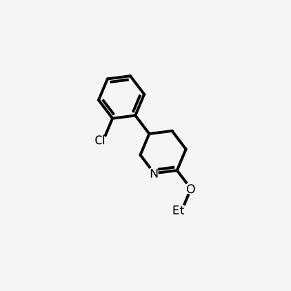 CCOC1=NCC(c2ccccc2Cl)CC1